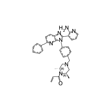 C=CC(=O)N1[C@H](C)CN(Cc2ccc(-n3c(-c4cccnc4N)nc4ccc(-c5ccccc5)nc43)cc2)C[C@H]1C